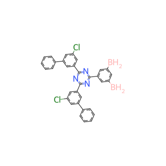 Bc1cc(B)cc(-c2nc(-c3cc(Cl)cc(-c4ccccc4)c3)nc(-c3cc(Cl)cc(-c4ccccc4)c3)n2)c1